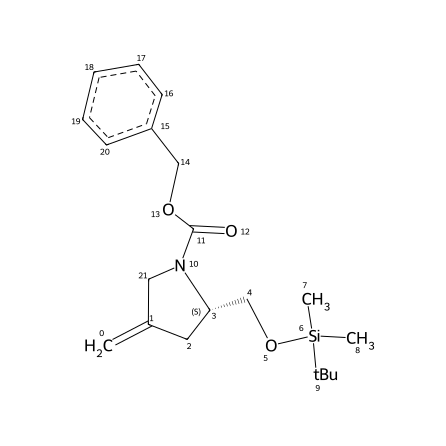 C=C1C[C@@H](CO[Si](C)(C)C(C)(C)C)N(C(=O)OCc2ccccc2)C1